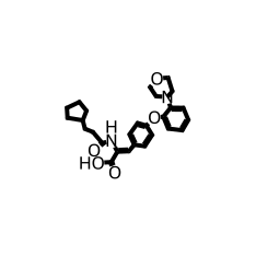 O=C(CCC1CCCC1)NC(=Cc1ccc(Oc2ccccc2N2CCOCC2)cc1)C(=O)O